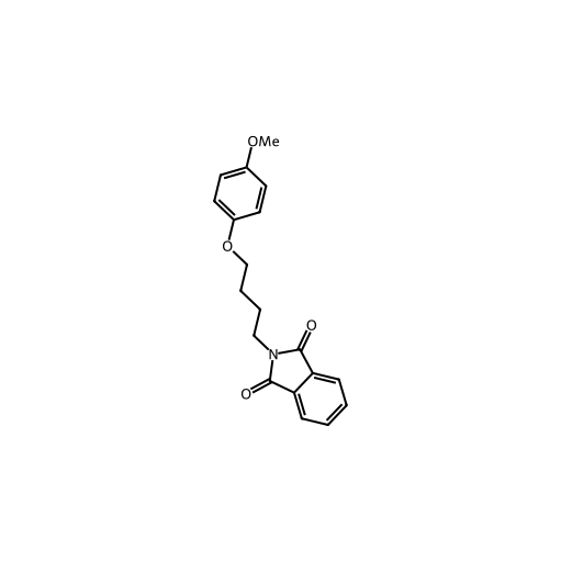 COc1ccc(OCCCCN2C(=O)c3ccccc3C2=O)cc1